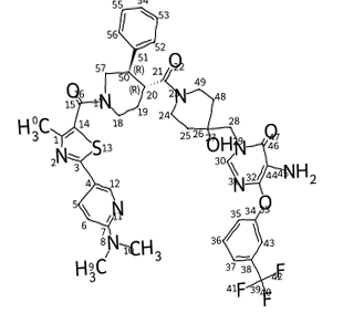 Cc1nc(-c2ccc(N(C)C)nc2)sc1C(=O)N1CC[C@@H](C(=O)N2CCC(O)(Cn3cnc(Oc4cccc(C(F)(F)F)c4)c(N)c3=O)CC2)[C@H](c2ccccc2)C1